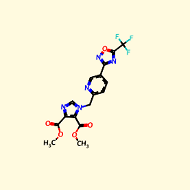 COC(=O)c1ncn(Cc2ccc(-c3noc(C(F)(F)F)n3)cn2)c1C(=O)OC